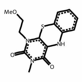 COCCn1c2c(c(=O)n(C)c1=O)Nc1ccccc1S2